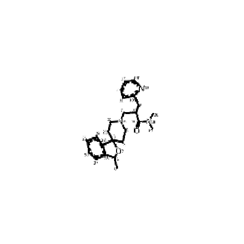 CC1OC2(CCN(CC(Cc3ccccn3)C(=O)N(C)C)CC2)c2ccccc21